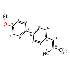 CCOc1ccc(-c2ccc(/C=C(\C#N)C(=O)O)cc2)cc1